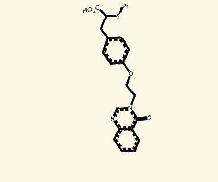 CC(C)SC(Cc1ccc(OCCn2cnc3ccccc3c2=O)cc1)C(=O)O